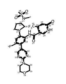 CN([C@H]1CCN(c2cc(F)c(-c3cnc(N4CCOCC4)nc3)cc2NC(=O)c2c[nH]c(=O)cc2C(F)(F)F)C1)S(C)(=O)=O